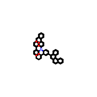 C1=CC(C2C=C(c3cc4ccc5ccccc5c4c4ccccc34)C=CC2N(c2ccc3c(ccc4ccccc43)c2)c2ccccc2-c2ccccc2)=CCC1